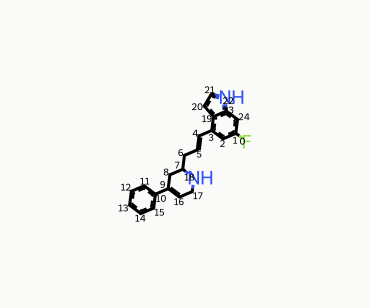 Fc1cc(/C=C/CC2CC(c3ccccc3)=CCN2)c2cc[nH]c2c1